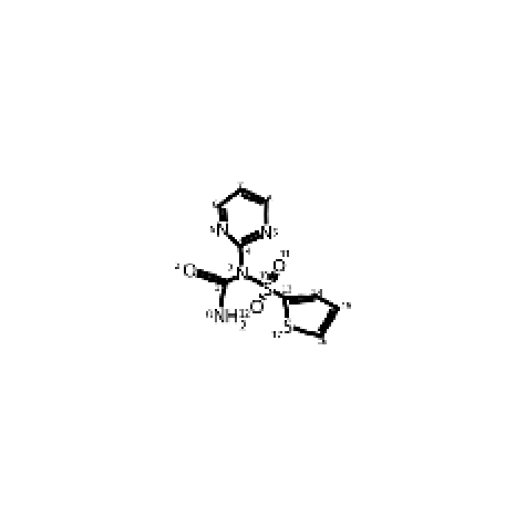 NC(=O)N(c1ncccn1)S(=O)(=O)c1cccs1